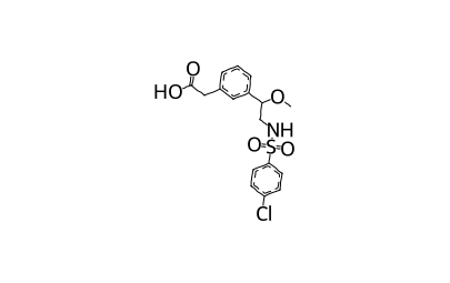 COC(CNS(=O)(=O)c1ccc(Cl)cc1)c1cccc(CC(=O)O)c1